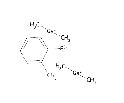 Cc1ccccc1[P-2].[CH3][Ga+][CH3].[CH3][Ga+][CH3]